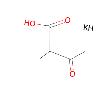 CC(=O)C(C)C(=O)O.[KH]